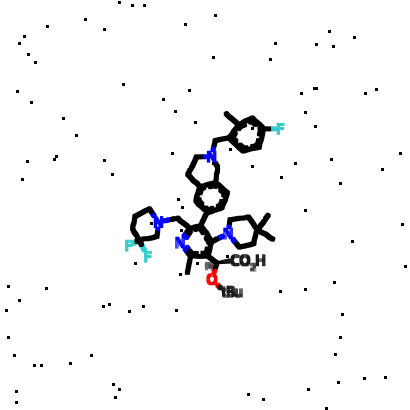 Cc1cc(F)ccc1CN1CCc2cc(-c3c(CN4CCCC(F)(F)C4)nc(C)c([C@H](OC(C)(C)C)C(=O)O)c3N3CCC(C)(C)CC3)ccc2C1